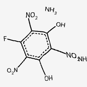 N.N.O=[N+]([O-])c1c(O)c([N+](=O)[O-])c(F)c([N+](=O)[O-])c1O